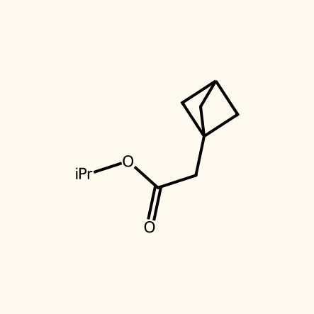 CC(C)OC(=O)CC12CC(C1)C2